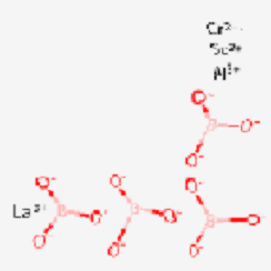 [Al+3].[Cr+3].[La+3].[O-]B([O-])[O-].[O-]B([O-])[O-].[O-]B([O-])[O-].[O-]B([O-])[O-].[Sc+3]